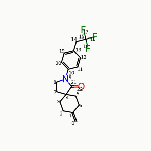 C=C1CCC2(CC1)CCN(c1ccc(CC(F)(F)F)cc1)C2=O